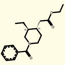 CCOC(=O)C[C@@H]1CCN(C(=O)c2ccccc2)C[C@H]1CC